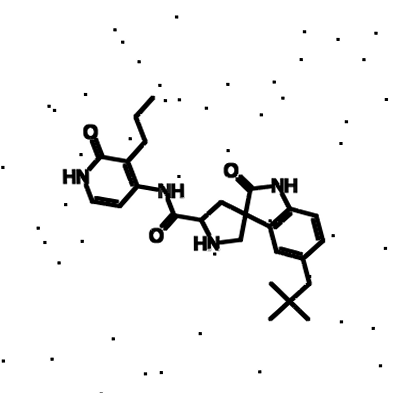 CCCc1c(NC(=O)C2CC3(CN2)C(=O)Nc2ccc(CC(C)(C)C)cc23)cc[nH]c1=O